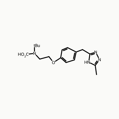 Cc1nnc(Cc2ccc(OCCN(C(=O)O)C(C)(C)C)cc2)[nH]1